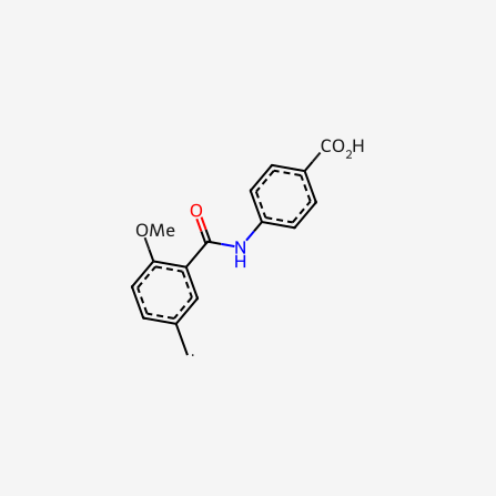 [CH2]c1ccc(OC)c(C(=O)Nc2ccc(C(=O)O)cc2)c1